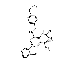 COc1ccc(CNc2cc(-c3cccnc3F)nc(C(C)=N)c2NC(C)C)cc1